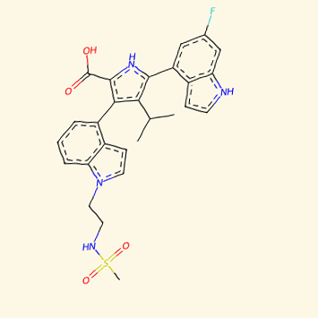 CC(C)c1c(-c2cc(F)cc3[nH]ccc23)[nH]c(C(=O)O)c1-c1cccc2c1ccn2CCNS(C)(=O)=O